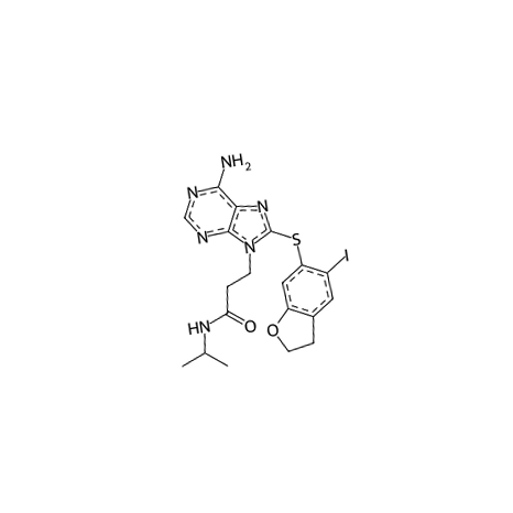 CC(C)NC(=O)CCn1c(Sc2cc3c(cc2I)CCO3)nc2c(N)ncnc21